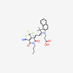 CCCCN1C(=O)C(C#N)=C(C(F)(F)F)/C(=C/C=C2/N(CCC(=O)O)c3ccc4ccccc4c3C2(C)C)C1=O